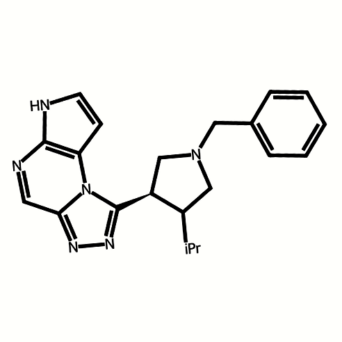 CC(C)C1CN(Cc2ccccc2)C[C@@H]1c1nnc2cnc3[nH]ccc3n12